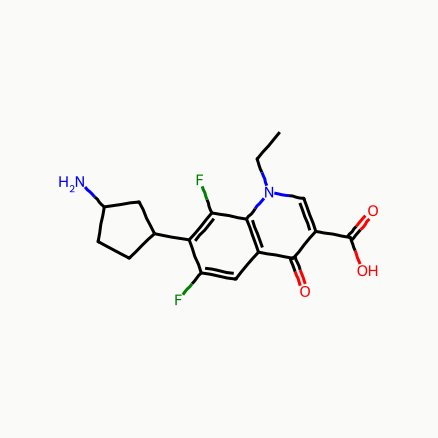 CCn1cc(C(=O)O)c(=O)c2cc(F)c(C3CCC(N)C3)c(F)c21